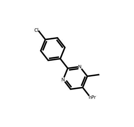 CCCc1cnc(-c2ccc(Cl)cc2)nc1C